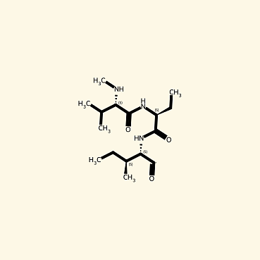 CC[C@H](NC(=O)[C@@H](NC)C(C)C)C(=O)N[C@H]([C]=O)[C@@H](C)CC